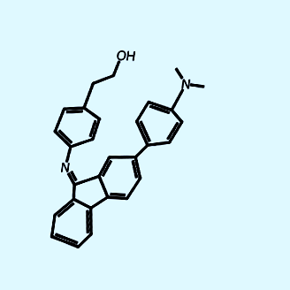 CN(C)c1ccc(-c2ccc3c(c2)C(=Nc2ccc(CCO)cc2)c2ccccc2-3)cc1